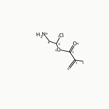 C=C(C)C(=O)OC(Cl)CN